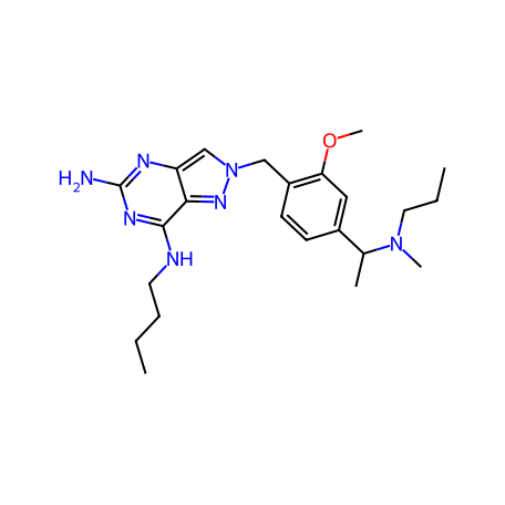 CCCCNc1nc(N)nc2cn(Cc3ccc(C(C)N(C)CCC)cc3OC)nc12